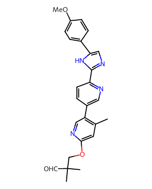 COc1ccc(-c2cnc(-c3ccc(-c4cnc(OCC(C)(C)C=O)cc4C)cn3)[nH]2)cc1